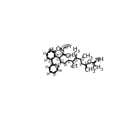 C=C(C[C@@H](C)C(C)C(CC)CCC1C(C(=C)N(C)C(C)C)c2ccccc2-c2cccc[n+]21)OC(C)=N